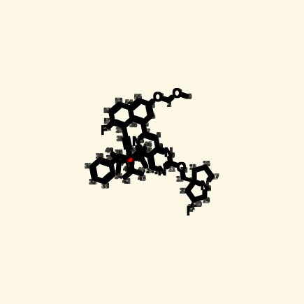 COCOc1cc(-c2cc3nc(OC[C@@]45CCCN4C[C@H](F)C5)ncc3c(NCc3ccccc3)n2)c2c(C#C[Si](C(C)C)(C(C)C)C(C)C)c(F)ccc2c1